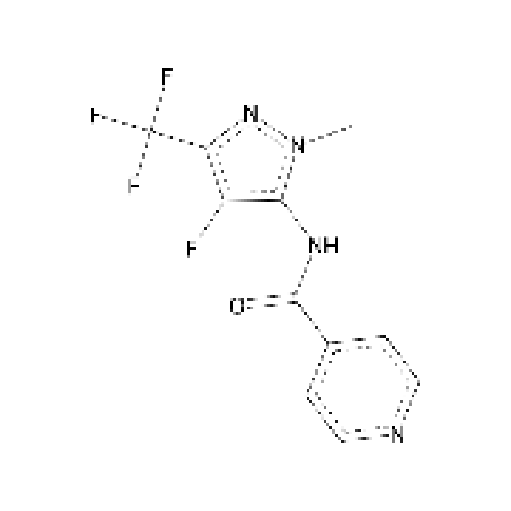 Cn1nc(C(F)(F)F)c(F)c1NC(=O)c1ccncc1